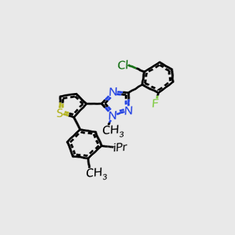 Cc1ccc(-c2sccc2-c2nc(-c3c(F)cccc3Cl)nn2C)cc1C(C)C